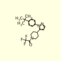 CC(C)(C)c1ccc(-n2nccc2C2CCN(C(=O)C(F)(F)F)CC2)cc1